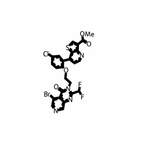 COC(=O)c1csc2c(-c3cc(Cl)ccc3OCCn3c(C(F)F)nc4cncc(Br)c4c3=O)ccnc12